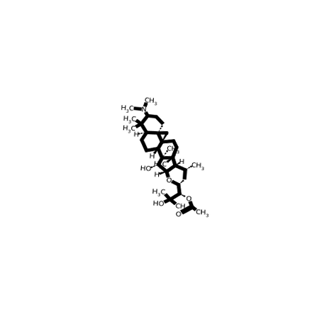 CC(=O)O[C@@H]([C@H]1C[C@@H](C)[C@H]2[C@H](O1)[C@H](O)[C@@]1(C)[C@@H]3CC[C@H]4C(C)(C)C(N(C)C)CC[C@@]45C[C@@]35CC[C@]21C)C(C)(C)O